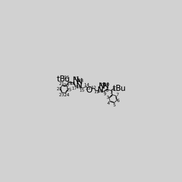 CC(C)(C)C(c1ccccc1)c1cn(CCOCCn2cc(C(c3ccccc3)C(C)(C)C)nn2)nn1